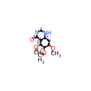 COc1cc2[nH]cnc(=O)c2c(OC)c1OC